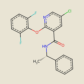 C[C@H](NC(=O)c1cc(Cl)cnc1Oc1c(F)cccc1F)c1ccccc1